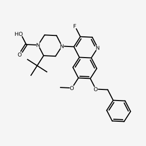 COc1cc2c(N3CCN(C(=O)O)C(C(C)(C)C)C3)c(F)cnc2cc1OCc1ccccc1